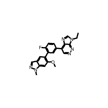 CCn1cnc2c(-c3ccc(F)c(-c4cc5cnn(C)c5cc4OC)c3)cnnc21